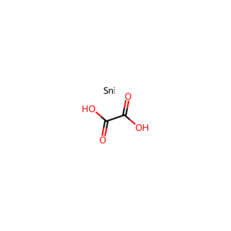 O=C(O)C(=O)O.[Sn]